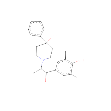 Cc1cc(C(O)C(C)N2CCC(O)(c3ccccc3)CC2)cc(C)c1O